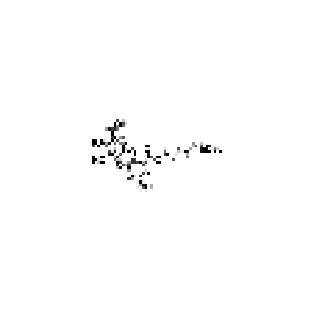 CCCCCCCCCCCCCCCOC(=O)c1cc(O)ccc1O[C@@H]1O[C@H](CO)[C@@H](O)[C@H](O)[C@H]1O